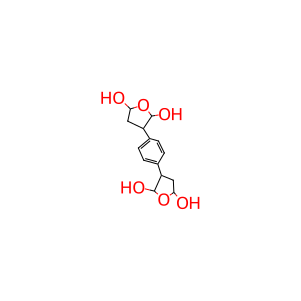 OC1CC(c2ccc(C3CC(O)OC3O)cc2)C(O)O1